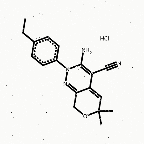 CCc1ccc(N2N=C3COC(C)(C)C=C3C(C#N)=C2N)cc1.Cl